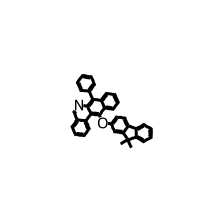 CC1(C)c2ccccc2-c2ccc(Oc3c4ccccc4c(-c4ccccc4)c4ncc5ccccc5c34)cc21